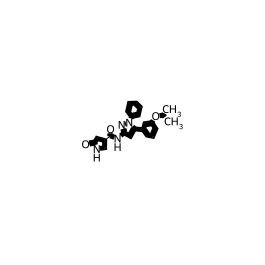 CC(C)Oc1cccc(-c2cc(NC(=O)[C@@H]3CNC(=O)C3)nn2-c2ccccc2)c1